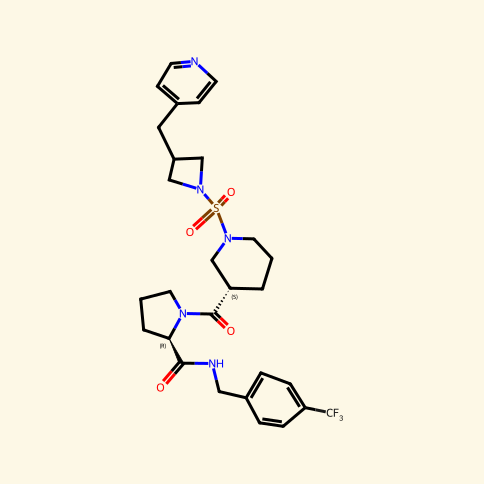 O=C(NCc1ccc(C(F)(F)F)cc1)[C@H]1CCCN1C(=O)[C@H]1CCCN(S(=O)(=O)N2CC(Cc3ccncc3)C2)C1